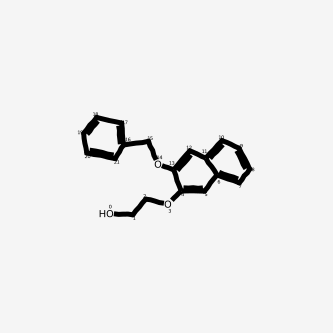 OCCOc1cc2ccccc2cc1OCc1ccccc1